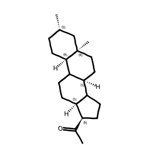 CC(=O)[C@@H]1CCC2[C@@H]3CC[C@]4(C)C[C@@H](C)CC[C@@H]4C3CC[C@@H]21